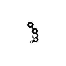 O=C1CCC(Cc2ccc(-c3ccccc3)cc2)N1I